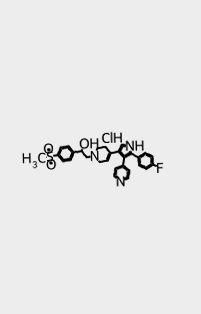 CS(=O)(=O)c1ccc(C(O)CN2CC=C(c3c[nH]c(-c4ccc(F)cc4)c3-c3ccncc3)CC2)cc1.Cl